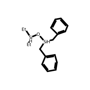 CC[SiH](CC)O[SiH](Cc1ccccc1)Cc1ccccc1